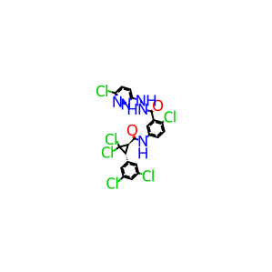 O=C(NNc1ccc(Cl)nn1)c1cc(NC(=O)[C@H]2[C@H](c3cc(Cl)cc(Cl)c3)C2(Cl)Cl)ccc1Cl